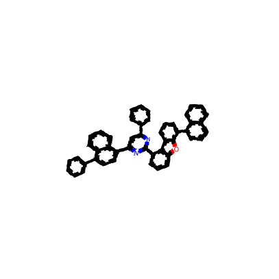 c1ccc(-c2cc(-c3ccc(-c4ccccc4)c4ccccc34)nc(-c3cccc4oc5c(-c6cccc7ccccc67)cccc5c34)n2)cc1